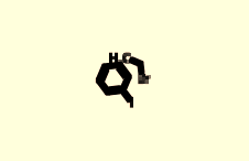 CCBr.Ic1ccccc1